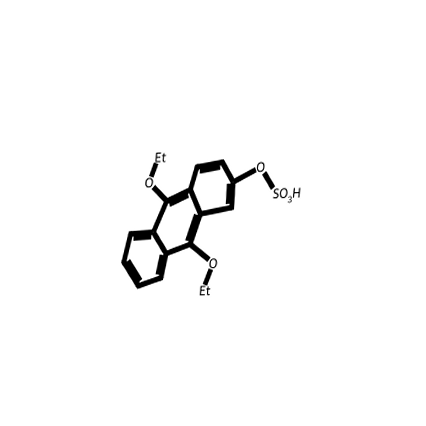 CCOc1c2ccccc2c(OCC)c2cc(OS(=O)(=O)O)ccc12